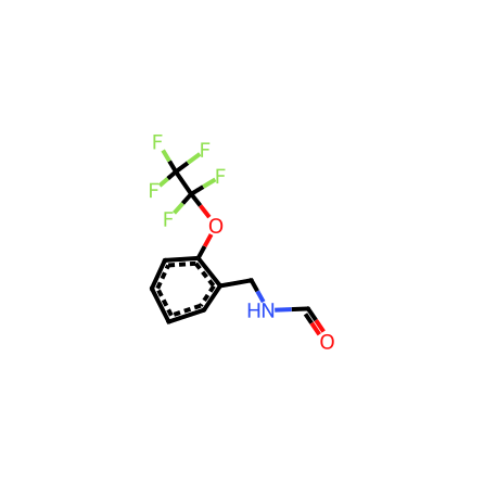 O=CNCc1ccccc1OC(F)(F)C(F)(F)F